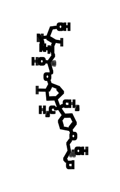 CC(C)(c1ccc(OC[C@H](O)CCl)cc1)c1ccc(OC[C@@H](O)Cn2nnc(CO)c2I)c(I)c1